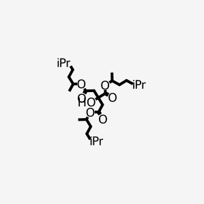 CC(C)CCC(C)OC(=O)CC(O)(CC(=O)OC(C)CCC(C)C)C(=O)OC(C)CCC(C)C